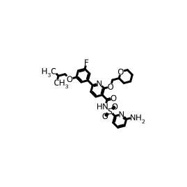 CC(C)COc1cc(F)cc(-c2ccc(C(=O)NS(=O)(=O)c3cccc(N)n3)c(OCC3CCCCO3)n2)c1